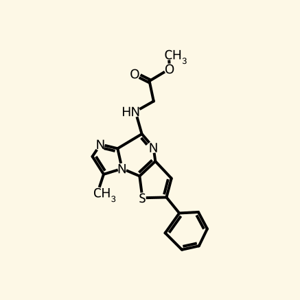 COC(=O)CNc1nc2cc(-c3ccccc3)sc2n2c(C)cnc12